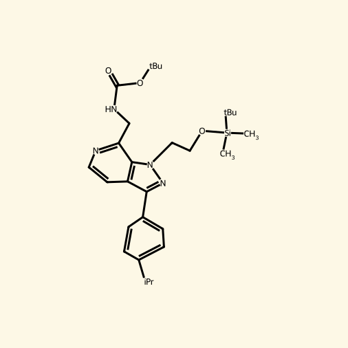 CC(C)c1ccc(-c2nn(CCO[Si](C)(C)C(C)(C)C)c3c(CNC(=O)OC(C)(C)C)nccc23)cc1